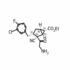 CCOC(=O)[C@H]1[C@@H]2C[C@@H](Cc3ccc(F)c(Cl)c3)[C@](C#N)(C(=O)CN)[C@@H]21